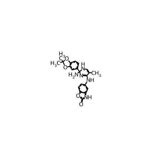 CC1=CNC(N)(c2ccc3c(c2)OC(C)(C)O3)N=C1Nc1ccc2oc(=O)[nH]c2c1